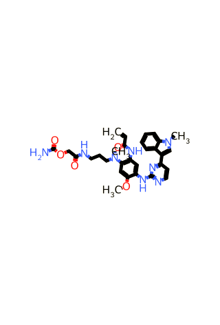 C=CC(=O)Nc1cc(Nc2nccc(-c3cn(C)c4ccccc34)n2)c(OC)cc1N(C)CCCNC(=O)COC(N)=O